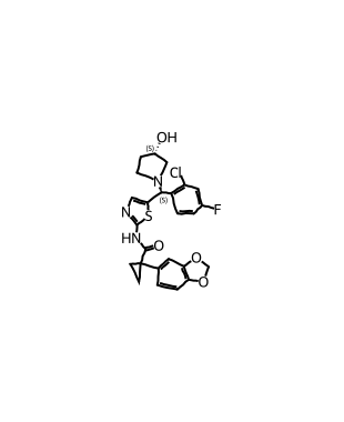 O=C(Nc1ncc([C@H](c2ccc(F)cc2Cl)N2CC[C@H](O)C2)s1)C1(c2ccc3c(c2)OCO3)CC1